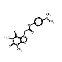 CN(C)c1ccc(NC(=O)Cn2cnc3c2c(=O)n(C)c(=O)n3C)cc1